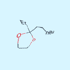 CCCCCC1(CC)OCCO1